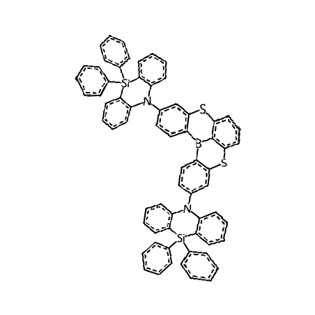 c1ccc([Si]2(c3ccccc3)c3ccccc3N(c3ccc4c(c3)Sc3cccc5c3B4c3ccc(N4c6ccccc6[Si](c6ccccc6)(c6ccccc6)c6ccccc64)cc3S5)c3ccccc32)cc1